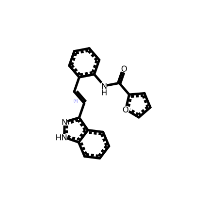 O=C(Nc1ccccc1/C=C/c1n[nH]c2ccccc12)c1ccco1